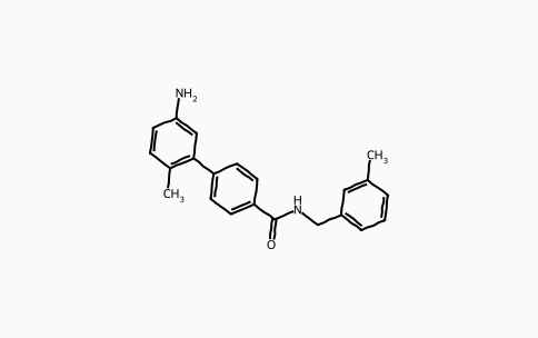 Cc1cccc(CNC(=O)c2ccc(-c3cc(N)ccc3C)cc2)c1